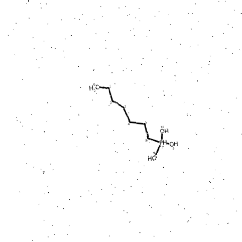 CCCCCCC[PH](O)(O)O